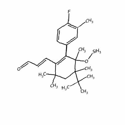 Cc1cc(C2=C(C=CC=O)C(C)(C)CC(C)(C(C)(C)C)C2(C)O[SiH3])ccc1F